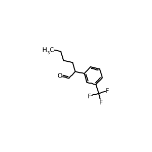 CCCCC(C=O)c1cccc(C(F)(F)F)c1